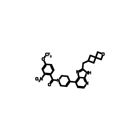 O=C(c1ccc(OC(F)(F)F)cc1[N+](=O)[O-])N1CC=C(c2ccnc3[nH]c(CC4CC5(COC5)C4)nc23)CC1